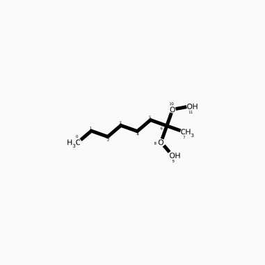 CCCCCCC(C)(OO)OO